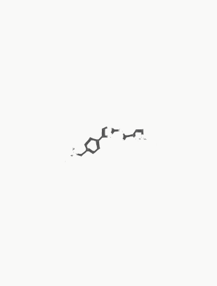 CN(C)Cc1ccc(-c2csc(NC(=O)c3ccn(C)n3)n2)cc1